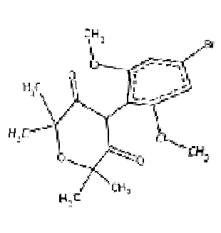 COc1cc(Br)cc(OC)c1C1C(=O)C(C)(C)OC(C)(C)C1=O